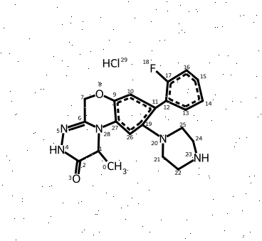 CC1C(=O)NN=C2COc3cc(-c4ccccc4F)c(N4CCNCC4)cc3N21.Cl